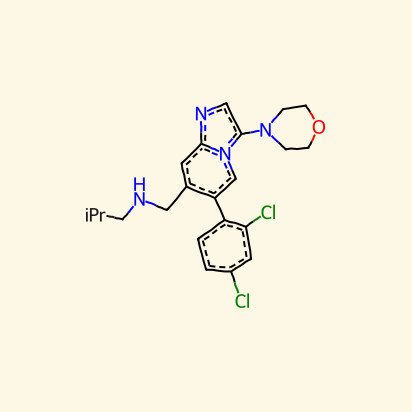 CC(C)CNCc1cc2ncc(N3CCOCC3)n2cc1-c1ccc(Cl)cc1Cl